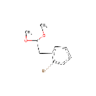 COC(Cc1ccccc1Br)OC